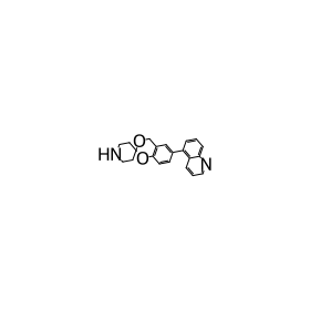 c1cc(-c2ccc3c(c2)COC2(CCNCC2)O3)c2cccnc2c1